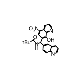 CCCCC(=O)NC(c1ccc2ncccc2c1)c1cc([N+](=O)[O-])c2cccnc2c1O